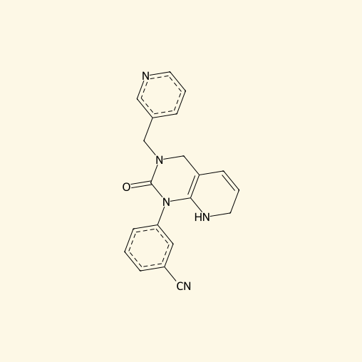 N#Cc1cccc(N2C(=O)N(Cc3cccnc3)CC3=C2NCC=C3)c1